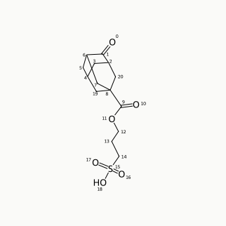 O=C1C2CC3CC1CC(C(=O)OCCCS(=O)(=O)O)(C3)C2